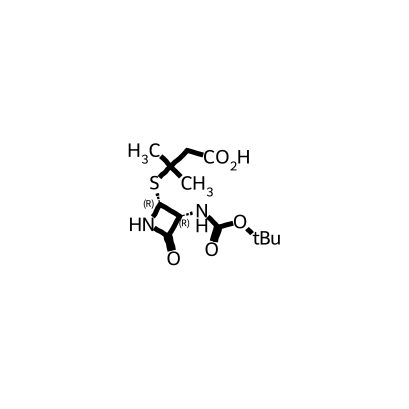 CC(C)(C)OC(=O)N[C@@H]1C(=O)N[C@@H]1SC(C)(C)CC(=O)O